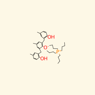 CCCC[P+](CCCC)(CCCC)CCCC.Cc1ccc(O)c(Cc2cc(C)cc(Cc3cc(C)ccc3O)c2[O-])c1